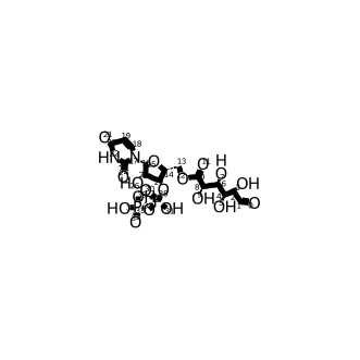 O=C[C@H](O)[C@@H](O)[C@H](O)[C@H](O)C(=O)OC[C@H]1O[C@@H](n2ccc(=O)[nH]c2=O)[C@H](O)[C@@H]1OP(=O)(O)OP(=O)(O)O